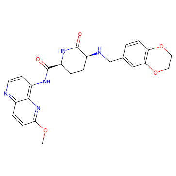 COc1ccc2nccc(NC(=O)[C@@H]3CC[C@H](NCc4ccc5c(c4)OCCO5)C(=O)N3)c2n1